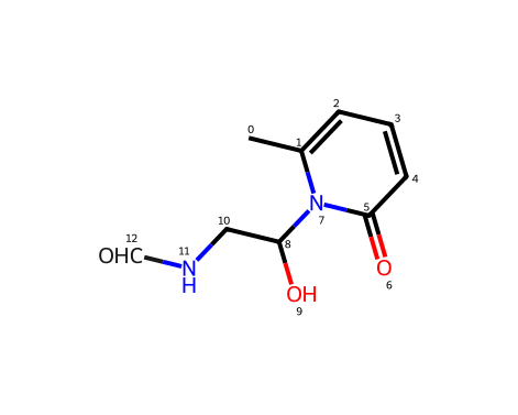 Cc1cccc(=O)n1C(O)CNC=O